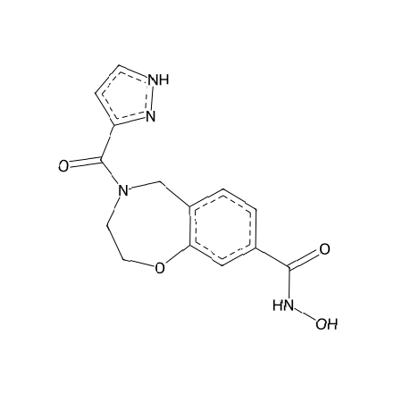 O=C(NO)c1ccc2c(c1)OCCN(C(=O)c1cc[nH]n1)C2